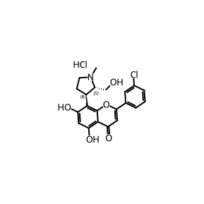 CN1CC[C@H](c2c(O)cc(O)c3c(=O)cc(-c4cccc(Cl)c4)oc23)[C@H]1CO.Cl